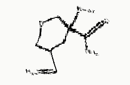 C=CC1COCC(NC(C)=O)(C(N)=O)C1